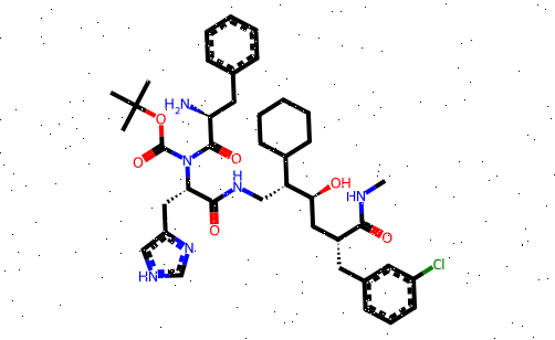 CNC(=O)[C@H](Cc1cccc(Cl)c1)C[C@H](O)[C@H](CNC(=O)[C@H](Cc1c[nH]cn1)N(C(=O)OC(C)(C)C)C(=O)[C@@H](N)Cc1ccccc1)C1CCCCC1